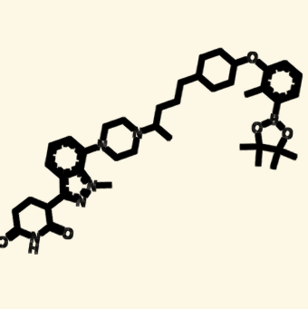 Cc1c(OC2CCC(CCCC(C)N3CCN(c4cccc5c(C6CCC(=O)NC6=O)nn(C)c45)CC3)CC2)cccc1B1OC(C)(C)C(C)(C)O1